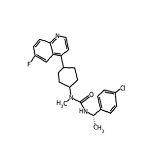 C[C@H](NC(=O)N(C)C1CCC(c2ccnc3ccc(F)cc23)CC1)c1ccc(Cl)cc1